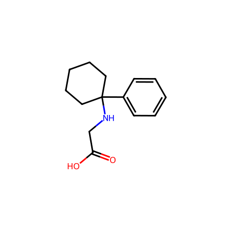 O=C(O)CNC1(c2ccccc2)CCCCC1